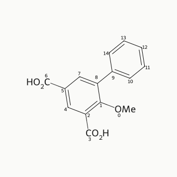 COc1c(C(=O)O)cc(C(=O)O)cc1-c1ccccc1